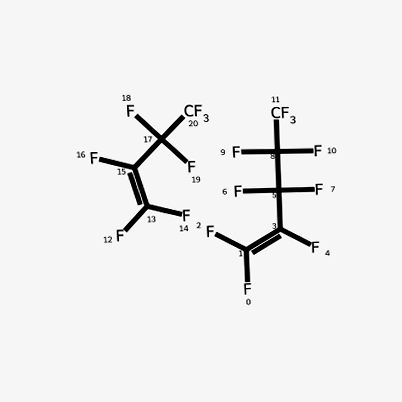 FC(F)=C(F)C(F)(F)C(F)(F)C(F)(F)F.FC(F)=C(F)C(F)(F)C(F)(F)F